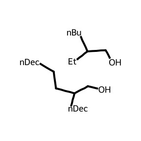 CCCCC(CC)CO.CCCCCCCCCCCCC(CO)CCCCCCCCCC